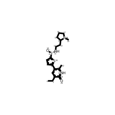 CCc1cc(-c2ccc([S+]([O-])NCCC3CCCN3C)s2)c(C)[nH]c1=O